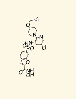 O=C(NO)c1cc2ccc(S(=O)(=O)Nc3cc(Cl)cnc3N3CCC(OCC4CC4)CC3)cc2o1